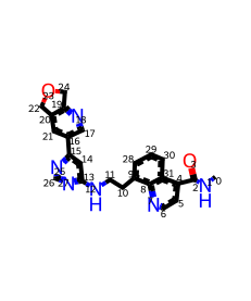 CNC(=O)c1ccnc2c(CCNc3cc(-c4cnc5c(c4)COC5)ncn3)cccc12